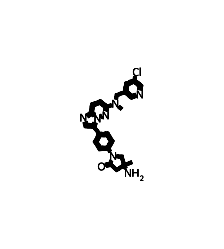 CN(Cc1cncc(Cl)c1)c1ccc2ncc(-c3ccc(N4CC(C)(N)CC4=O)cc3)n2n1